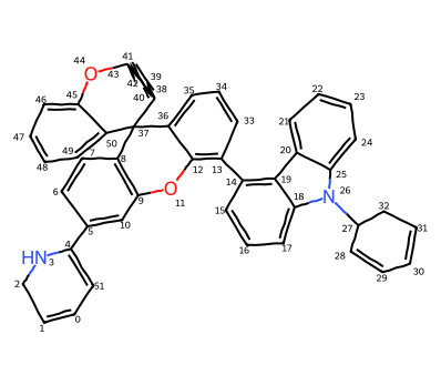 C1=CCNC(c2ccc3c(c2)Oc2c(-c4cccc5c4c4ccccc4n5C4C=CC=CC4)cccc2C32c3ccccc3Oc3ccccc32)=C1